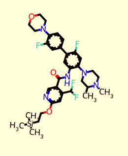 CC1CN(c2cc(F)c(-c3ccc(N4CCOCC4)c(F)c3)cc2NC(=O)c2cnc(OCC[Si](C)(C)C)cc2C(F)F)CCN1C